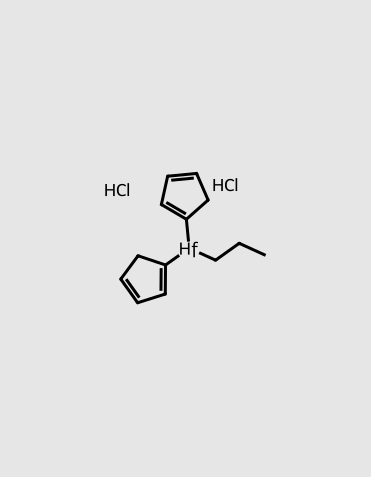 CC[CH2][Hf]([C]1=CC=CC1)[C]1=CC=CC1.Cl.Cl